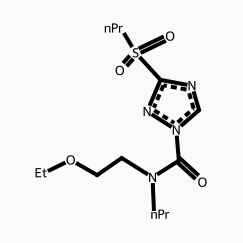 CCCN(CCOCC)C(=O)n1cnc(S(=O)(=O)CCC)n1